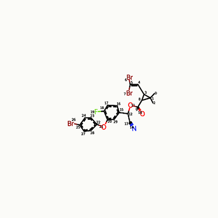 CC1(C)C(C=C(Br)Br)C1C(=O)OC(C#N)c1ccc(F)c(Oc2ccc(Br)cc2)c1